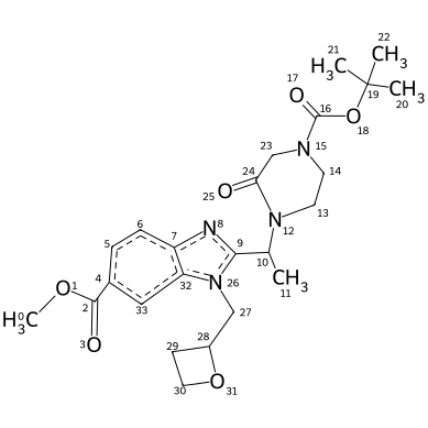 COC(=O)c1ccc2nc(C(C)N3CCN(C(=O)OC(C)(C)C)CC3=O)n(CC3CCO3)c2c1